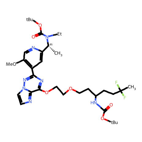 CCN(C(=O)OC(C)(C)C)[C@H](C)c1cc(-c2nc(OCCOCCC(CCC(C)(F)F)NC(=O)OC(C)(C)C)c3nccn3n2)c(OC)cn1